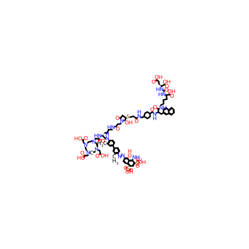 Cc1cc(-c2ccc(NC(=O)[C@@H](CCCCNC(=O)CCN3C(=O)CC(SCCC(=O)NCC4CCC(C(=O)NC(Cc5ccc6ccccc6c5)C(=O)NCCCCC(NC(=O)N[C@@H](CCC(=O)O)C(=O)O)C(=O)O)CC4)C3O)NC(=O)CN3CCN(CC(=O)O)CCN(CC(=O)O)CCN(CC(=O)O)CC3)c(C)c2)ccc1N=Nc1ccc2c(S(=O)(=O)O)cc(S(=O)(=O)O)c(N)c2c1O